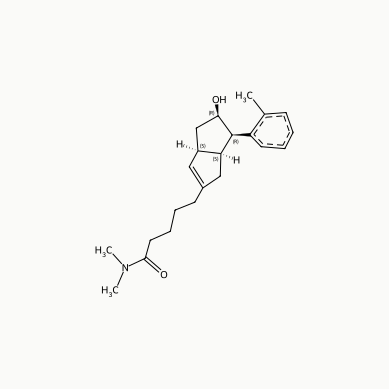 Cc1ccccc1[C@H]1[C@H]2CC(CCCCC(=O)N(C)C)=C[C@H]2C[C@H]1O